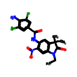 CCN1C(=O)C(C)(C)c2cc(NC(=O)c3cc(Br)c(N)c(Br)c3)c([N+](=O)[O-])cc21